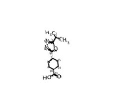 CC(C)c1nnc([C@H]2CC[C@H](C(=O)O)CC2)o1